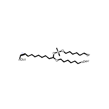 CCCCCCCC/C=C\CCCCCCCC(OCCCCCCCCCCCCCCCC)O[Si](C)(C)OCCCCCCBr